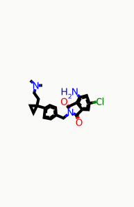 CN(C)CCC1(c2ccc(CN3C(=O)c4cc(Cl)cc(N)c4C3=O)cc2)CC1